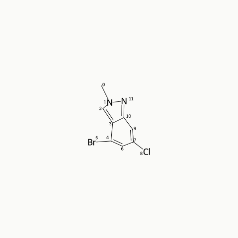 Cn1cc2c(Br)cc(Cl)cc2n1